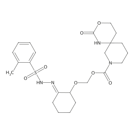 Cc1ccccc1S(=O)(=O)NN=C1CCCCC1OCOC(=O)N1CCCC2(CCOC(=O)N2)C1